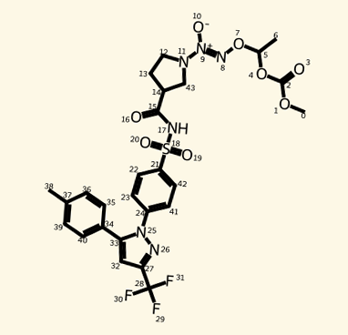 COC(=O)OC(C)ON=[N+]([O-])N1CCC(C(=O)NS(=O)(=O)c2ccc(-n3nc(C(F)(F)F)cc3-c3ccc(C)cc3)cc2)C1